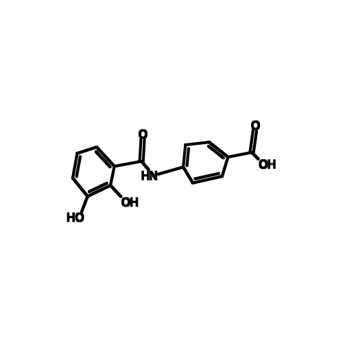 O=C(O)c1ccc(NC(=O)c2cccc(O)c2O)cc1